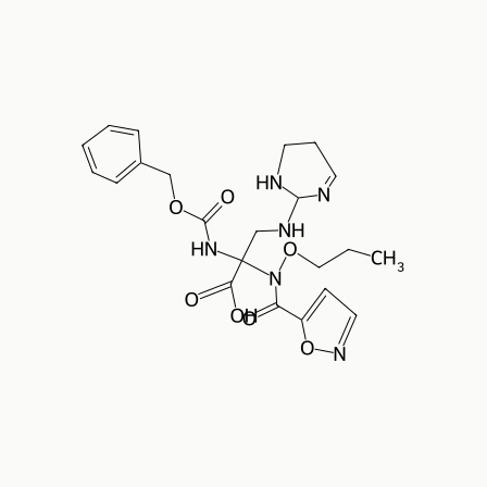 CCCON(C(=O)c1ccno1)C(CNC1N=CCCN1)(NC(=O)OCc1ccccc1)C(=O)O